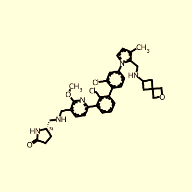 COc1nc(-c2cccc(-c3ccc(-n4ccc(C)c4CNC4CC5(COC5)C4)cc3Cl)c2Cl)ccc1CNC[C@@H]1CCC(=O)N1